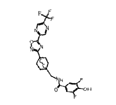 O=C(NCC12CCC(c3noc(-c4cnc(C(F)(F)F)cn4)n3)(CC1)CC2)c1cc(F)c(O)c(F)c1